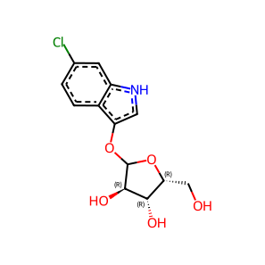 OC[C@H]1OC(Oc2c[nH]c3cc(Cl)ccc23)[C@H](O)[C@H]1O